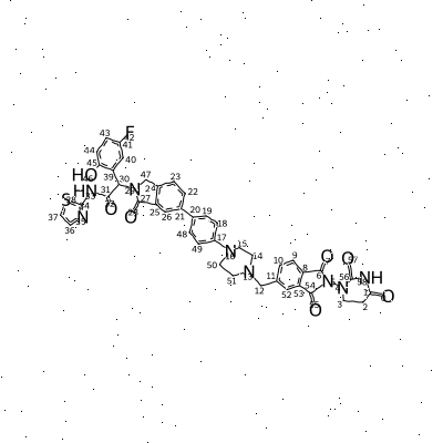 O=C1CCN(N2C(=O)c3ccc(CN4CCN(c5ccc(-c6ccc7c(c6)C(=O)N(C(C(=O)Nc6nccs6)c6cc(F)ccc6O)C7)cc5)CC4)cc3C2=O)C(=O)N1